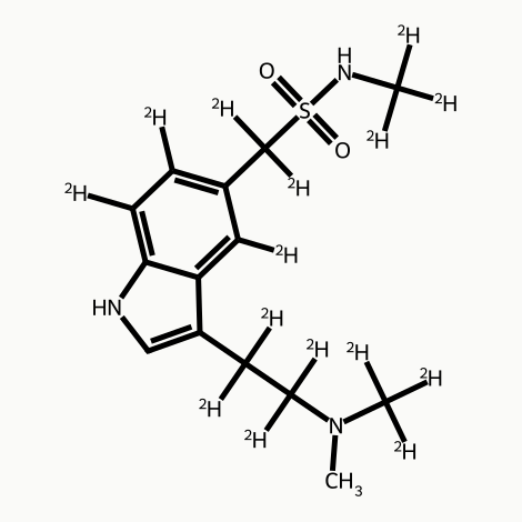 [2H]c1c(C([2H])([2H])S(=O)(=O)NC([2H])([2H])[2H])c([2H])c2c(C([2H])([2H])C([2H])([2H])N(C)C([2H])([2H])[2H])c[nH]c2c1[2H]